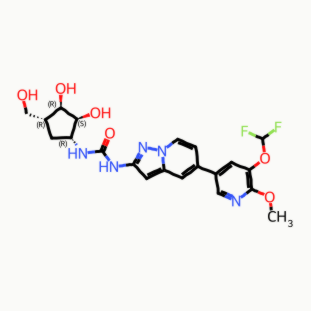 COc1ncc(-c2ccn3nc(NC(=O)N[C@@H]4C[C@H](CO)[C@@H](O)[C@H]4O)cc3c2)cc1OC(F)F